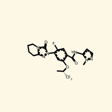 C[C@H](Oc1cc(-n2nc3n(c2=O)CCCC3)c(F)cc1C(=O)Nc1ccnn1C)C(F)(F)F